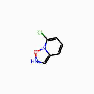 ClC1=CC=CC2=CNON12